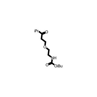 CC(C)COC(=O)NCCOCCC(=O)C(C)C